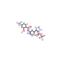 COc1cc(C(C)(C)C)ccc1C(=O)Nc1cccc(C2CCCN2C(=O)OC(C)(C)C)c1